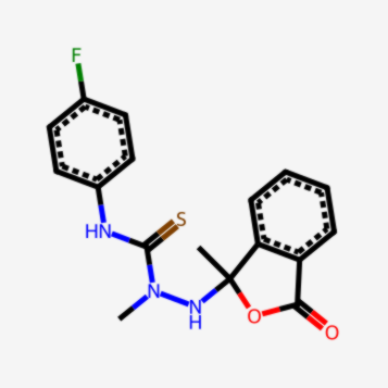 CN(NC1(C)OC(=O)c2ccccc21)C(=S)Nc1ccc(F)cc1